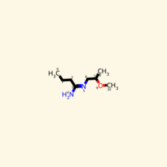 CCC/C(N)=N\CC(C)OC